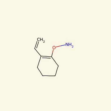 C=CC1=C(ON)CCCC1